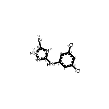 Clc1cc(Cl)cc(Nc2n[nH]c(Br)n2)c1